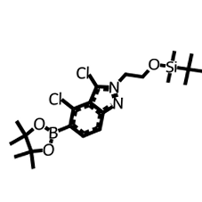 CC1(C)OB(c2ccc3nn(CCO[Si](C)(C)C(C)(C)C)c(Cl)c3c2Cl)OC1(C)C